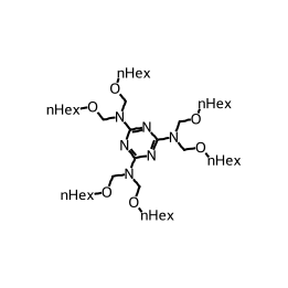 CCCCCCOCN(COCCCCCC)c1nc(N(COCCCCCC)COCCCCCC)nc(N(COCCCCCC)COCCCCCC)n1